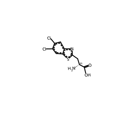 N[C@H](Cc1nc2cc(Cl)c(Cl)cc2s1)C(=O)O